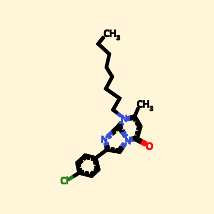 CCCCCCCCn1c(C)cc(=O)n2cc(-c3ccc(Cl)cc3)nc12